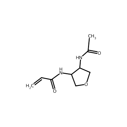 C=CC(=O)NC1COCC1NC(C)=O